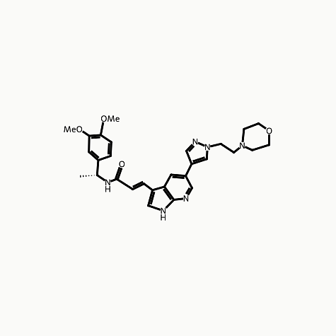 COc1ccc([C@@H](C)NC(=O)/C=C/c2c[nH]c3ncc(-c4cnn(CCN5CCOCC5)c4)cc23)cc1OC